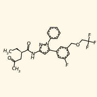 CC[C@H](CC(C)=O)C(=O)Nc1cc(-c2cc(F)cc(COCC(F)(F)F)c2)n(-c2ccccc2)n1